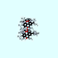 C=O.Cc1c(C)c(C)c(P(C(C)(C)C)C(C)(C)C)c(-c2c(C(C)C)cc(C(C)C)cc2C(C)C)c1C.Cc1c(C)c(C)c(P(C(C)(C)C)C(C)(C)C)c(-c2c(C(C)C)cc(C(C)C)cc2C(C)C)c1C.[Ir]